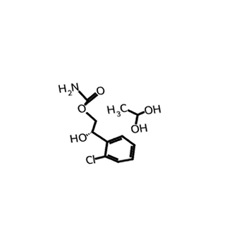 CC(O)O.NC(=O)OC[C@@H](O)c1ccccc1Cl